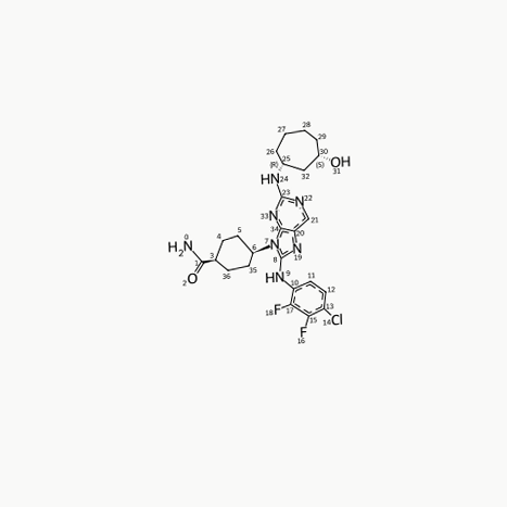 NC(=O)[C@H]1CC[C@@H](n2c(Nc3ccc(Cl)c(F)c3F)nc3cnc(N[C@@H]4CCCC[C@H](O)C4)nc32)CC1